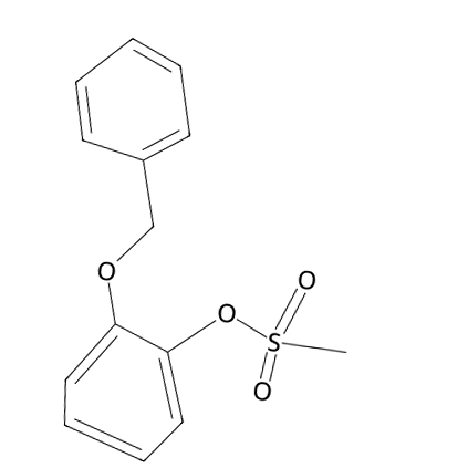 CS(=O)(=O)Oc1ccccc1OCc1ccccc1